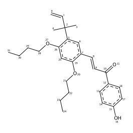 C=CC(C)(C)c1cc(C=CC(=O)c2ccc(O)cc2)c(OCCCC)cc1OCCCC